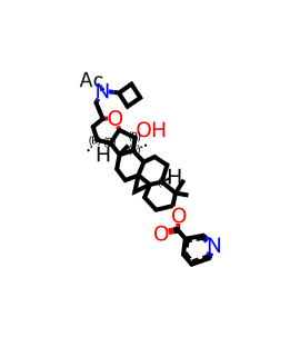 CC(=O)N(CC1C[C@@H](C)[C@H]2C(O1)[C@H](O)[C@@]1(C)C3CC[C@H]4C(C)(C)C(OC(=O)c5cccnc5)CCC45CC35CCC21C)C1CCC1